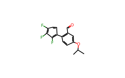 CC(C)Oc1ccc(-c2ccc(F)c(F)c2F)c(C=O)c1